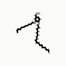 C/C=C\CCCCCCCCOc1cc(CO)ccc1OCCCCCCCC/C=C\CCCCCCCC